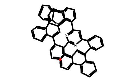 c1ccc(-c2cc3ccccc3c3ccccc23)c(-c2cc(-c3cccc4c3oc3ccccc34)nc(-c3ccccc3-c3cc4ccccc4c4ccccc34)n2)c1